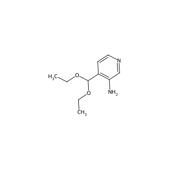 CCOC(OCC)c1ccncc1N